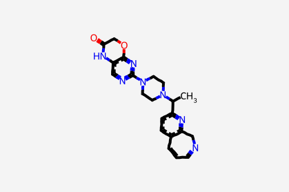 CC(c1ccc2c(n1)CN=CC=C2)N1CCN(c2ncc3c(n2)OCC(=O)N3)CC1